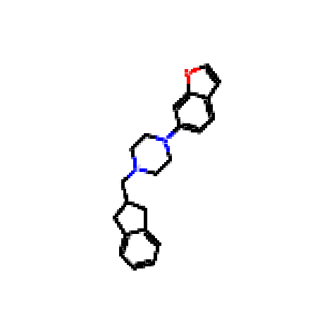 c1ccc2c(c1)CC(CN1CCN(c3ccc4ccoc4c3)CC1)C2